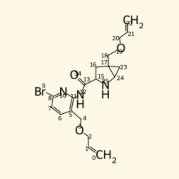 C=CCOCc1ccc(Br)nc1NC(=O)C1CC2(COCC=C)CC2N1